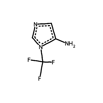 Nc1cncn1C(F)(F)F